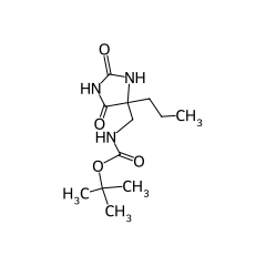 CCCC1(CNC(=O)OC(C)(C)C)NC(=O)NC1=O